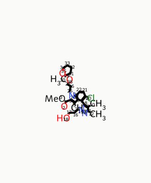 COC(=O)c1c(C)c2c(-c3c(C)c(C)nn3CCCO)c(Cl)ccc2n1CCCO[C@]1(C)CCCCO1